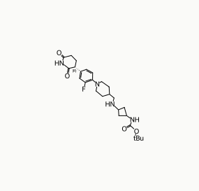 CC(C)(C)OC(=O)NC1CC(NCC2CCN(c3ccc([C@H]4CCC(=O)NC4=O)cc3F)CC2)C1